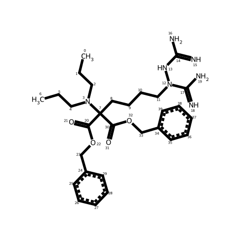 CCCN(CCC)C(CCCCN(NC(=N)N)C(=N)N)(C(=O)OCc1ccccc1)C(=O)OCc1ccccc1